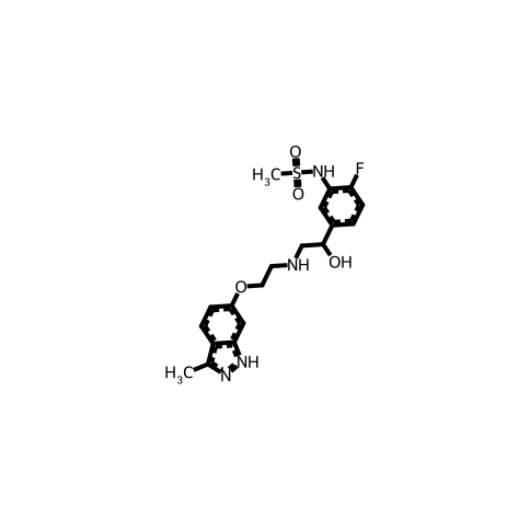 Cc1n[nH]c2cc(OCCNCC(O)c3ccc(F)c(NS(C)(=O)=O)c3)ccc12